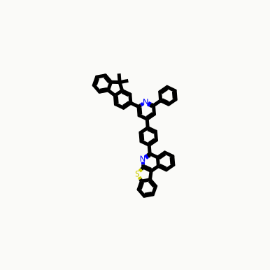 CC1(C)c2ccccc2-c2ccc(-c3cc(-c4ccc(-c5nc6sc7ccccc7c6c6ccccc56)cc4)cc(-c4ccccc4)n3)cc21